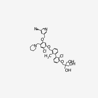 Cc1c(COc2cc(OCc3cncc(C#N)c3)c(CN3CCCCC3)cc2Cl)cccc1-c1cccc(OCC(CO)(CO)CO)c1Cl